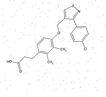 Cc1c(CCC(=O)O)ccc(OCc2csnc2-c2ccc(Cl)cc2)c1C